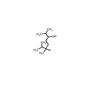 CC(C)C(O)CCC(C)(F)C(C)C